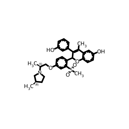 CC1=C(c2cccc(O)c2)C(c2ccc(OC[C@H](C)N3CC[C@@H](C)C3)cc2S(C)(=O)=O)Oc2ccc(O)cc21